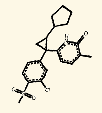 Cc1ccc(C2(c3ccc(S(C)(=O)=O)c(Cl)c3)CC2C2CCCC2)[nH]c1=O